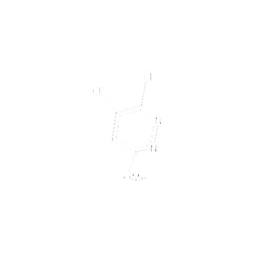 COc1cc(Cl)c(Cl)nn1